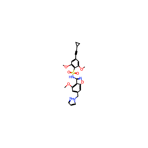 COc1cc(C#CC2CC2)cc(OC)c1S(=O)(=O)Nc1noc2cc(Cn3cccn3)cc(OC)c12